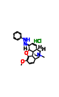 COC1=C2O[C@H]3C(=NNc4ccccc4)C=C[C@H]4[C@H]5CC(C=C1)C2[C@@]34CCN5C.Cl